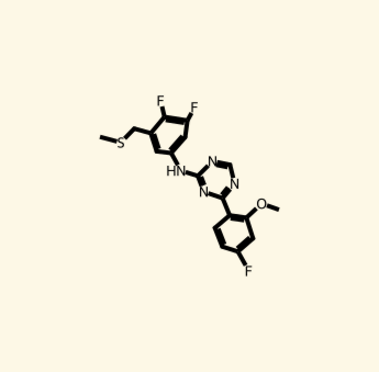 COc1cc(F)ccc1-c1ncnc(Nc2cc(F)c(F)c(CSC)c2)n1